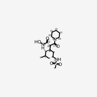 CC(C)C[C@H](CCNS(C)(=O)=O)[C@H](C(=O)NO)C(=O)N1CCCCC1